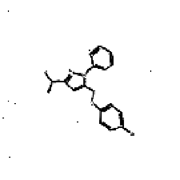 CC(C)c1cc(COc2ccc(Br)cc2)n(-c2ccccc2)n1